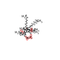 C=C(C)C(=O)OC1=CC(C)(CCCCCCCCCC)C2=C3C1(C)CCOC(=O)OC(=O)OCCC3(C)C(OC(=O)C(C)C)=CC2(C)CCCCCCCCCC